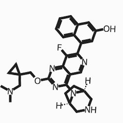 CN(C)CC1(COc2nc(N3[C@@H]4CC[C@H]3CNC4)c3cnc(-c4cc(O)cc5ccccc45)c(F)c3n2)CC1